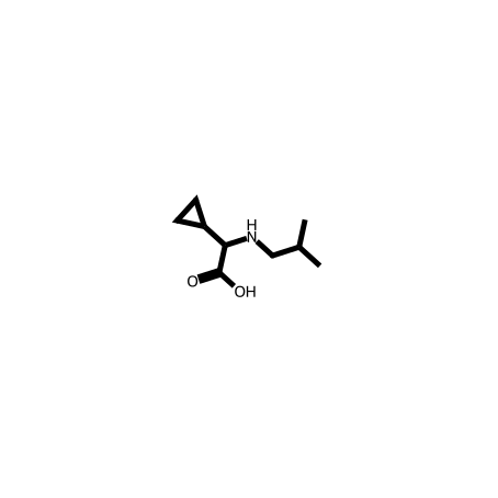 CC(C)CNC(C(=O)O)C1CC1